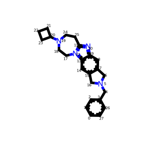 c1ccc(CN2Cc3cc4nc5n(c4cc3C2)CCN(C2CCC2)CC5)cc1